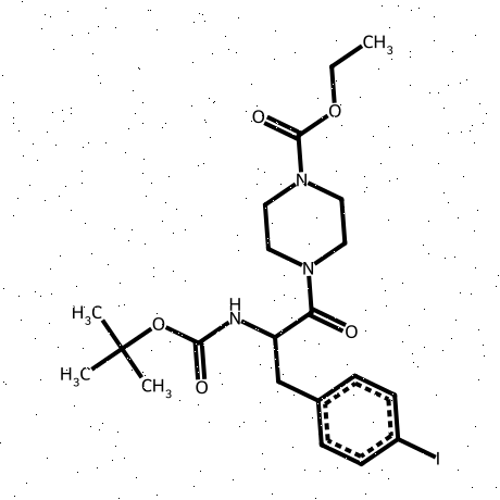 CCOC(=O)N1CCN(C(=O)C(Cc2ccc(I)cc2)NC(=O)OC(C)(C)C)CC1